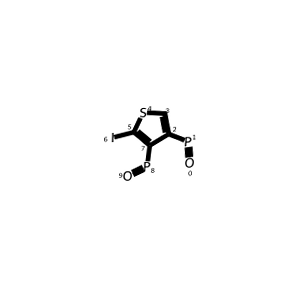 O=Pc1csc(I)c1P=O